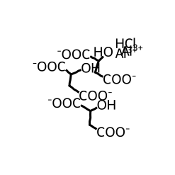 Cl.O=C([O-])CC(O)C(=O)[O-].O=C([O-])CC(O)C(=O)[O-].O=C([O-])CC(O)C(=O)[O-].[Al+3].[Al+3]